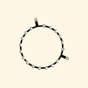 O=C1CCCCCCCCCCCCC(=O)OCCCCO1